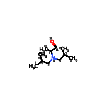 CC(C)CN(CC(C)C)C(C)C=O